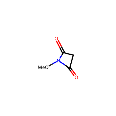 CON1C(=O)CC1=O